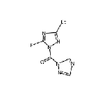 CCc1nc(F)n(C(=O)n2cncn2)n1